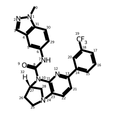 Cn1ncc2cc(NC(=O)N3c4nc(-c5cccc(C(F)(F)F)c5)ccc4N4CC[C@H]3C4)ccc21